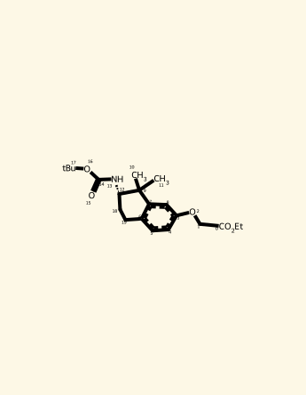 CCOC(=O)COc1ccc2c(c1)C(C)(C)[C@@H](NC(=O)OC(C)(C)C)CC2